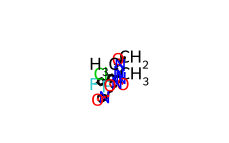 C=CC(=O)N1C[C@H](C)N(c2nc(=O)n3c4c(c(-c5ccc(F)cc5F)c(Cl)cc24)O[C@H](CCCN2C4CCC2COC4)C3)C[C@H]1C